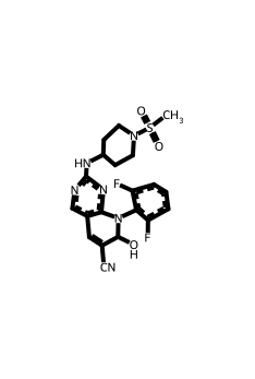 CS(=O)(=O)N1CCC(Nc2ncc3c(n2)N(c2c(F)cccc2F)C(O)C(C#N)=C3)CC1